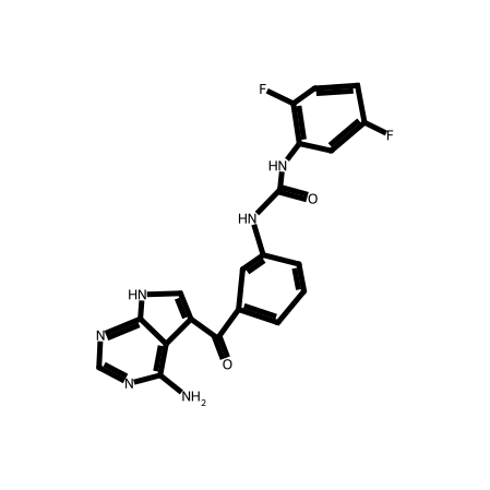 Nc1ncnc2[nH]cc(C(=O)c3cccc(NC(=O)Nc4cc(F)ccc4F)c3)c12